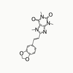 Cn1c(=O)c2c(nc(C=Cc3ccc4c(c3)OCO4)n2C)n(C)c1=O